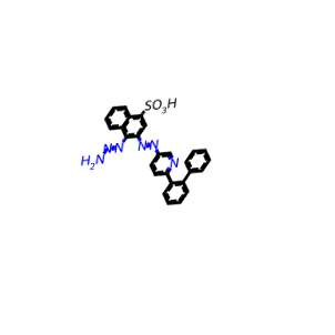 NN=Nc1c(/N=N/c2ccc(-c3ccccc3-c3ccccc3)nc2)cc(S(=O)(=O)O)c2ccccc12